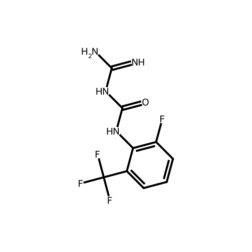 N=C(N)NC(=O)Nc1c(F)cccc1C(F)(F)F